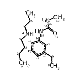 CCCCNCCC.CCc1cccc(NC(=O)NC)c1